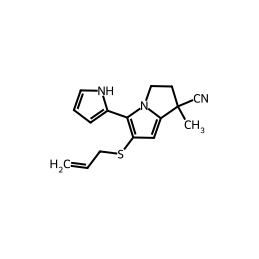 C=CCSc1cc2n(c1-c1ccc[nH]1)CCC2(C)C#N